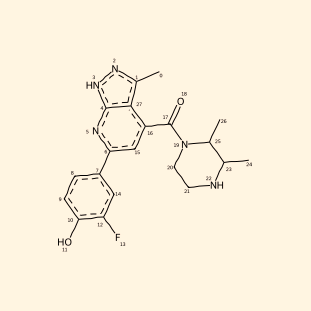 Cc1n[nH]c2nc(-c3ccc(O)c(F)c3)cc(C(=O)N3CCNC(C)C3C)c12